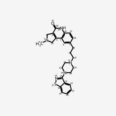 CN1Cc2c(c3cc(CCCN4CCN(c5nsc6ccccc56)CC4)ccc3[nH]c2=O)C1